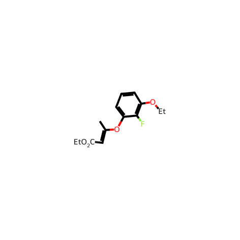 CCOC(=O)/C=C(\C)Oc1cccc(OCC)c1F